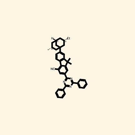 CC[C@H]1C[C@H]2C[C@@H](C)CC(c3ccc4c(c3)C(C)(C)c3cc(-c5nc(-c6ccccc6)nc(-c6ccccc6)n5)cc(C#N)c3-4)(C2)C1